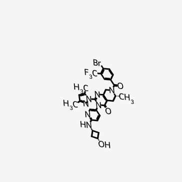 Cc1cc(C)n(-c2nc3c(c(=O)n2-c2ccc(N[C@H]4C[C@H](O)C4)nc2)C[C@@H](C)N(C(=O)c2ccc(Br)c(C(F)(F)F)c2)C3)n1